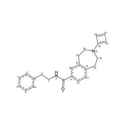 O=C(NCCc1ccccc1)c1ccc2c(c1)CCN(C1=CC=C1)CC2